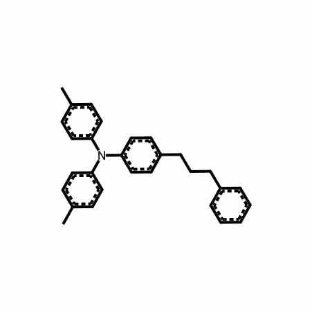 Cc1ccc(N(c2ccc(C)cc2)c2ccc(CCCc3ccccc3)cc2)cc1